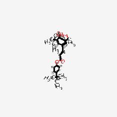 Cc1cc(CCC(=O)Oc2ccc(C(C)(C)C)cc2)cc(C(C)(C)C)c1O